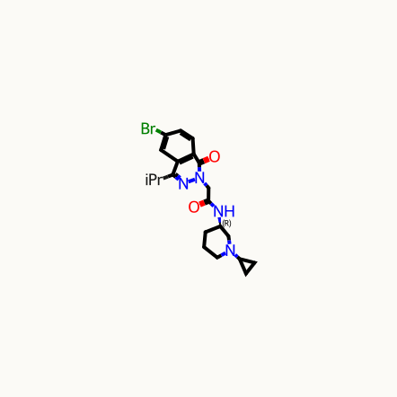 CC(C)c1nn(CC(=O)N[C@@H]2CCCN(C3CC3)C2)c(=O)c2ccc(Br)cc12